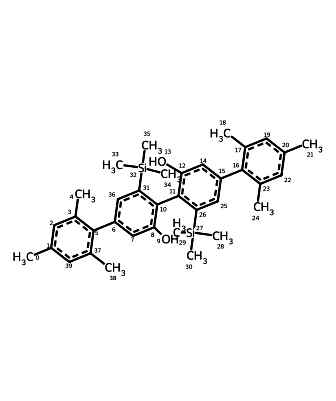 Cc1cc(C)c(-c2cc(O)c(-c3c(O)cc(-c4c(C)cc(C)cc4C)cc3[Si](C)(C)C)c([Si](C)(C)C)c2)c(C)c1